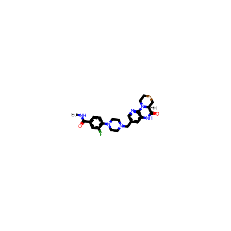 CCNC(=O)c1ccc(N2CCN(Cc3cnc4c(c3)NC(=O)[C@@H]3CSCCN43)CC2)c(F)c1